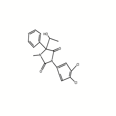 CC(O)C1(c2cc[c]cc2)C(=O)N(c2ccc(Cl)c(Cl)c2)C(=O)N1C